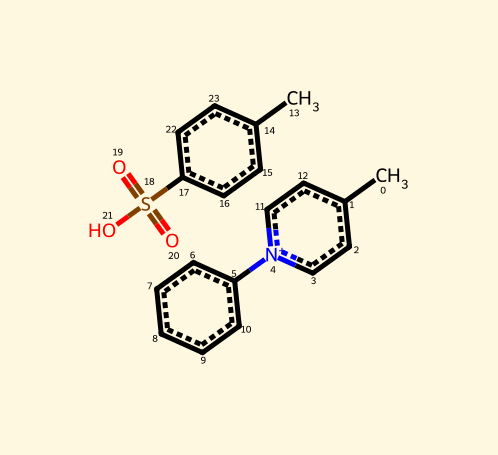 Cc1cc[n+](-c2ccccc2)cc1.Cc1ccc(S(=O)(=O)O)cc1